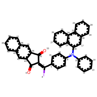 O=C1C(=C(I)c2ccc(N(c3ccccc3)c3cc4ccccc4c4ccccc34)cc2)C(=O)c2cc3ccccc3cc21